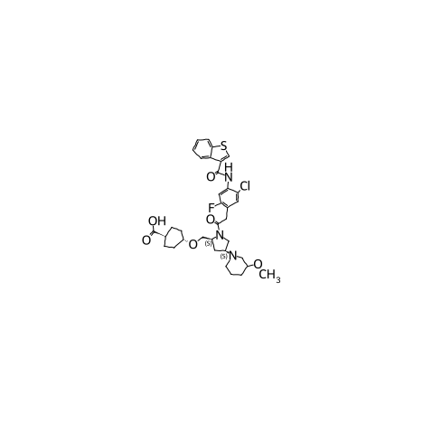 COC1CCCN([C@H]2C[C@@H](CO[C@H]3CC[C@H](C(=O)O)CC3)N(C(=O)Cc3cc(Cl)c(NC(=O)c4csc5ccccc45)cc3F)C2)C1